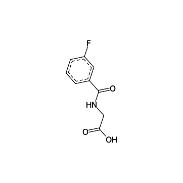 O=C(O)CNC(=O)c1cccc(F)c1